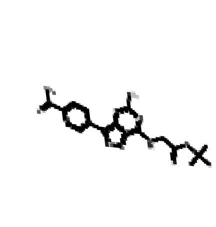 CC(C)(C)OC(=O)CNc1nc(N)nc2c1nnn2-c1ccc(C(N)=O)cc1